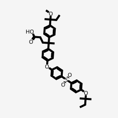 CCC(C)(C)Oc1ccc(S(=O)(=O)c2ccc(Oc3ccc(C(C)(CCC(=O)O)c4ccc(C(C)(CC)OC)cc4)cc3)cc2)cc1